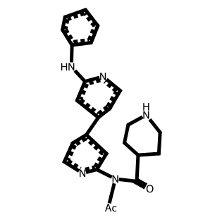 CC(=O)N(C(=O)C1CCNCC1)c1cc(-c2ccnc(Nc3ccccc3)c2)ccn1